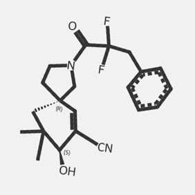 CC1(C)C[C@]2(C=C(C#N)[C@H]1O)CCN(C(=O)C(F)(F)Cc1ccccc1)C2